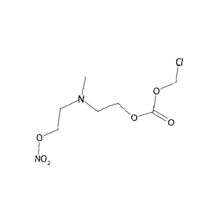 CN(CCOC(=O)OCCl)CCO[N+](=O)[O-]